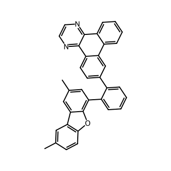 Cc1ccc2oc3c(-c4ccccc4-c4ccc5c(c4)c4ccccc4c4nccnc54)cc(C)cc3c2c1